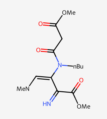 CCCCN(C(=O)CC(=O)OC)/C(=C/NC)C(=N)C(=O)OC